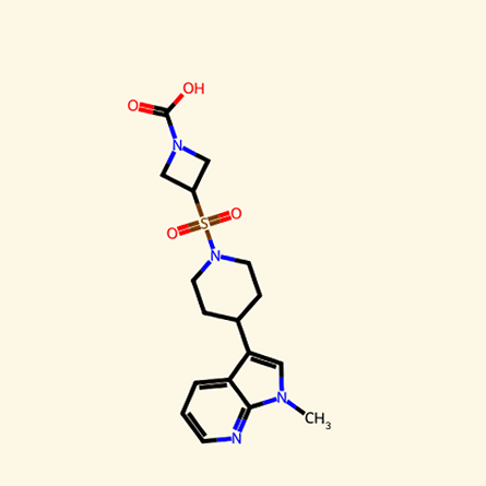 Cn1cc(C2CCN(S(=O)(=O)C3CN(C(=O)O)C3)CC2)c2cccnc21